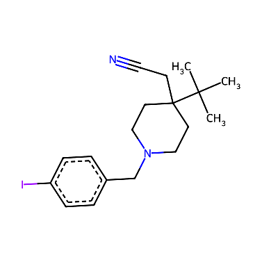 CC(C)(C)C1(CC#N)CCN(Cc2ccc(I)cc2)CC1